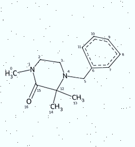 CN1CCN(Cc2ccccc2)C(C)(C)C1=O